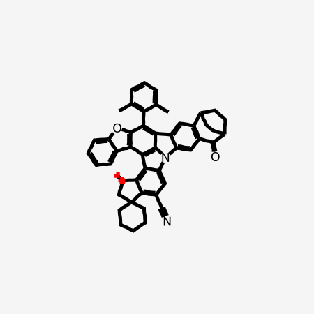 Cc1cccc(C)c1-c1c2oc3ccccc3c2c2c3c4c(c(C#N)cc3n3c5cc6c(cc5c1c23)C1CCC(CC1)C6=O)C1(CCCCC1)CC41CCCCC1